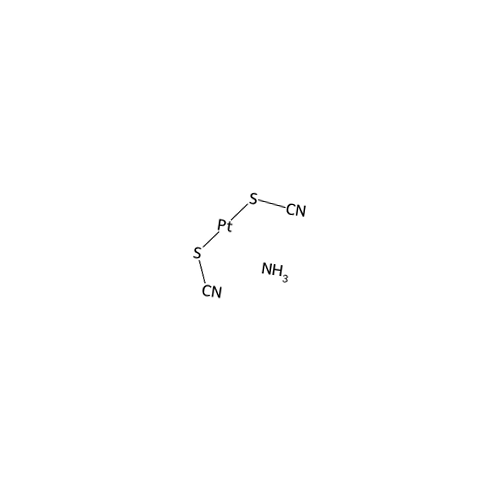 N.N#C[S][Pt][S]C#N